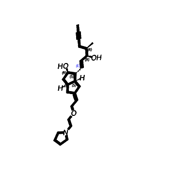 CC#CC[C@@H](C)[C@@H](O)/C=C/[C@@H]1[C@H]2CC(=CCOCCN3CCCC3)C[C@H]2C[C@H]1O